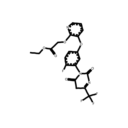 CCOC(=O)COc1ncccc1Oc1ccc(F)c(N2C(=O)CC(C(F)(F)F)=NC2=O)c1